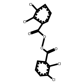 O=C(OOC(=O)c1cccc(Cl)c1Cl)c1cccc(Cl)c1Cl